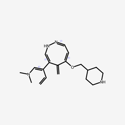 C=CC(=C\N(C)C)/C1=C/N/N=C\C=C(\OCC2CCNCC2)C1=C